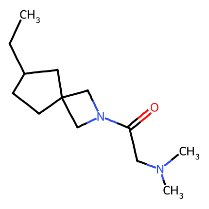 CCC1CCC2(C1)CN(C(=O)CN(C)C)C2